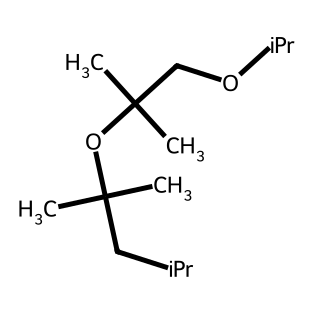 CC(C)CC(C)(C)OC(C)(C)COC(C)C